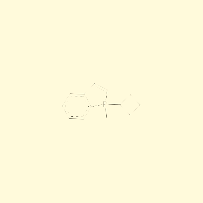 C[P]1(C2CCC2)C=Cc2ccccc21